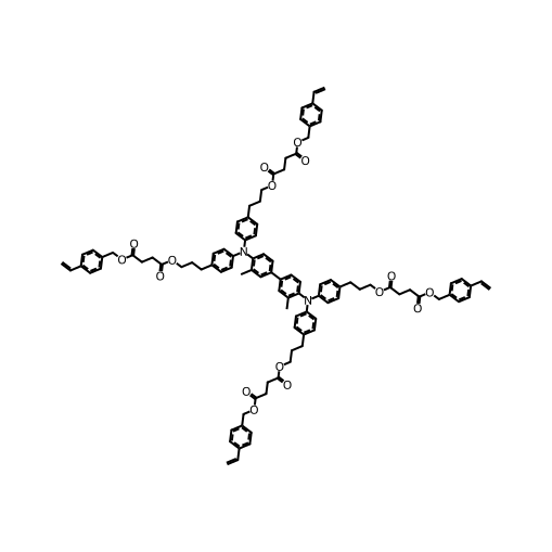 C=Cc1ccc(COC(=O)CCC(=O)OCCCc2ccc(N(c3ccc(CCCOC(=O)CCC(=O)OCc4ccc(C=C)cc4)cc3)c3ccc(-c4ccc(N(c5ccc(CCCOC(=O)CCC(=O)OCc6ccc(C=C)cc6)cc5)c5ccc(CCCOC(=O)CCC(=O)OCc6ccc(C=C)cc6)cc5)c(C)c4)cc3C)cc2)cc1